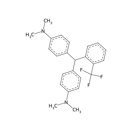 CN(C)c1ccc(C(c2ccc(N(C)C)cc2)c2ccccc2C(F)(F)F)cc1